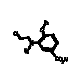 CCOc1ccc(C(=O)O)cc1N(CC)CCCl